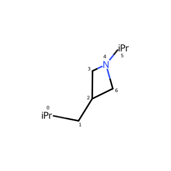 CC(C)CC1CN(C(C)C)C1